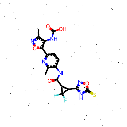 Cc1nc(-c2onc(C)c2NC(=O)O)ccc1NC(=O)C1C(c2noc(=S)[nH]2)C1(F)F